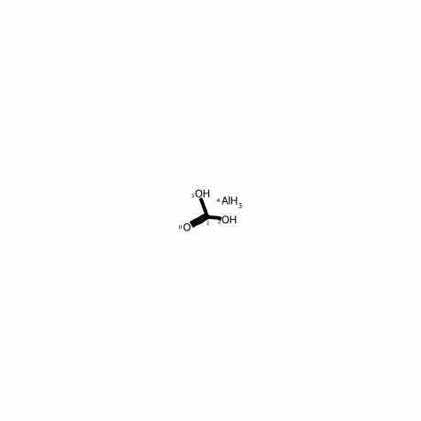 O=C(O)O.[AlH3]